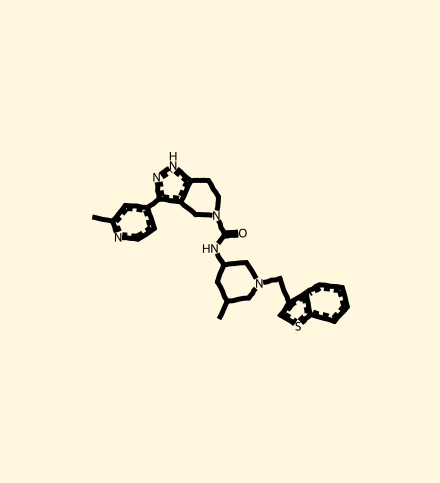 Cc1cc(-c2n[nH]c3c2CN(C(=O)NC2CC(C)CN(Cc4csc5ccccc45)C2)CC3)ccn1